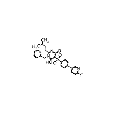 CC(C)CCc1nc(=O)c(S(=O)(=O)c2ccc(-c3ccc(F)nc3)cc2)c(O)n1Cc1ccccc1